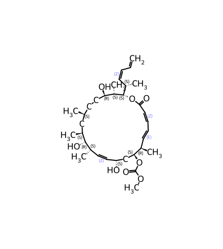 C=C/C=C\[C@H](C)[C@@H]1OC(=O)/C=C\C=C\[C@@H](C)[C@@H](OC(=O)OC)C[C@H](O)/C=C\[C@H](C)[C@H](O)[C@@H](C)C[C@@H](C)CC[C@@H](O)[C@@H]1C